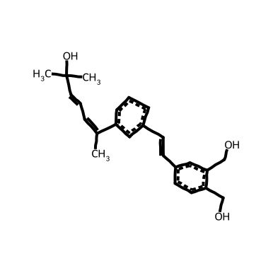 C/C(=C/C=C/C(C)(C)O)c1cccc(C=Cc2ccc(CO)c(CO)c2)c1